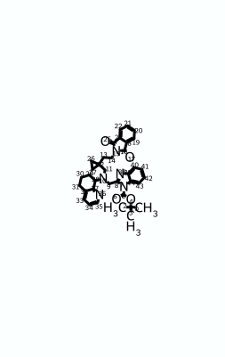 CC(C)(C)OC(=O)n1c(CN(CC2(CCN3C(=O)c4ccccc4C3=O)CC2)C2CCCc3cccnc32)nc2ccccc21